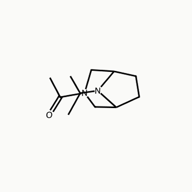 CC(=O)N1CC2CCC(C1)N2C(C)C